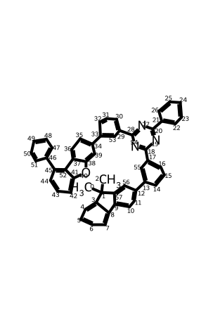 CC1(C)c2ccccc2-c2ccc(-c3cccc(-c4nc(-c5ccccc5)nc(-c5cccc(-c6ccc7c(c6)oc6cccc(-c8ccccc8)c67)c5)n4)c3)cc21